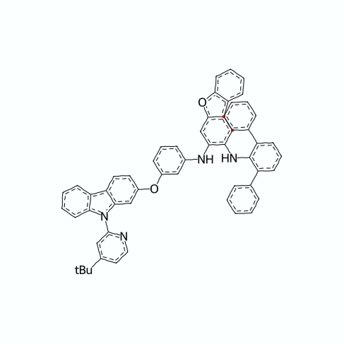 CC(C)(C)c1ccnc(-n2c3ccccc3c3ccc(Oc4cccc(Nc5cc6oc7ccccc7c6cc5Nc5c(-c6ccccc6)cccc5-c5ccccc5)c4)cc32)c1